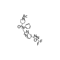 CC(=O)N1CCC(C(=O)N(Cc2cn3ccc(-c4nnc(C(F)F)o4)cc3n2)c2ccccc2)CC1